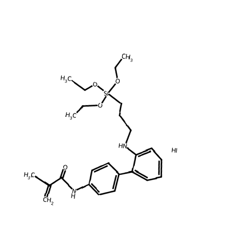 C=C(C)C(=O)Nc1ccc(-c2ccccc2NCCC[Si](OCC)(OCC)OCC)cc1.I